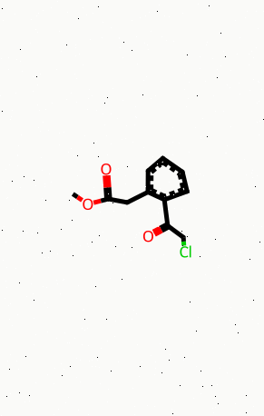 COC(=O)Cc1ccccc1C(=O)CCl